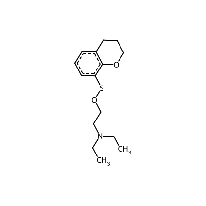 CCN(CC)CCOSc1cccc2c1OCCC2